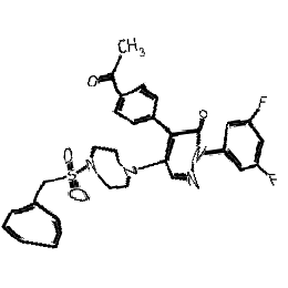 CC(=O)c1ccc(-c2c(N3CCN(S(=O)(=O)Cc4ccccc4)CC3)cnn(-c3cc(F)cc(F)c3)c2=O)cc1